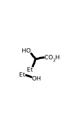 CCC(O)C(=O)O.CCO